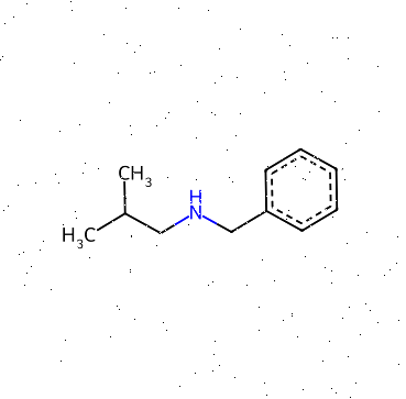 CC(C)CNCc1cc[c]cc1